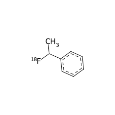 CC([18F])c1ccccc1